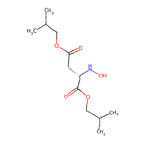 CC(C)COC(=O)C[C@H](NO)C(=O)OCC(C)C